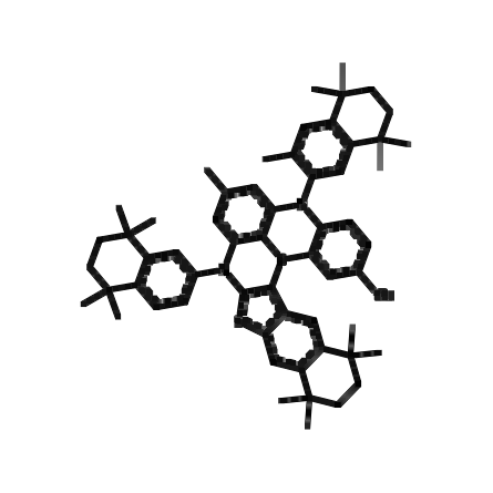 Cc1cc2c3c(c1)N(c1ccc4c(c1)C(C)(C)CCC4(C)C)c1sc4cc5c(cc4c1B3c1cc(C(C)(C)C)ccc1N2c1cc2c(cc1C)C(C)(C)CCC2(C)C)C(C)(C)CCC5(C)C